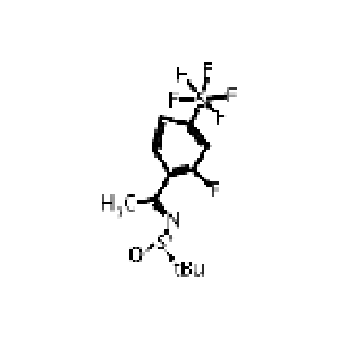 CC(=N[S@+]([O-])C(C)(C)C)c1ccc(S(F)(F)(F)(F)F)cc1F